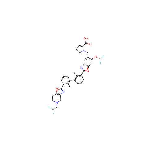 Cc1c(-c2nc3c(o2)CCN(CC(F)F)C3)cccc1-c1cccc(-c2nc3cc(CN4CCC[C@H]4C(=O)O)c(OC(F)F)cc3o2)c1C